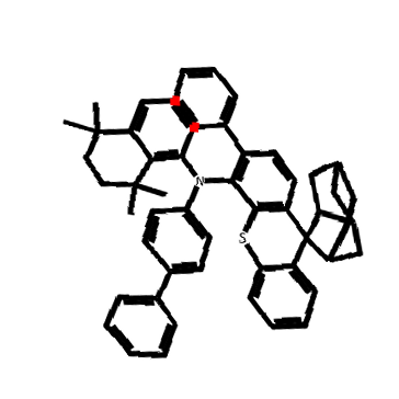 CC1(C)CCC(C)(C)c2c(N(c3ccc(-c4ccccc4)cc3)c3c(-c4ccccc4)ccc4c3Sc3ccccc3C43C4CC5CC(C4)C3C5)cccc21